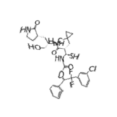 CC1(C[C@@H](C(=O)N[C@H](CO)C[C@@H]2CCNC2=O)[C@@H](S)NC(=O)OC(c2ccccc2)C(F)(F)c2cccc(Cl)c2)CC1